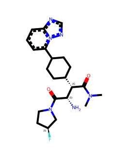 CN(C)C(=O)[C@@H](C1CCC(c2cccc3ncnn23)CC1)[C@H](N)C(=O)N1CC[C@H](F)C1